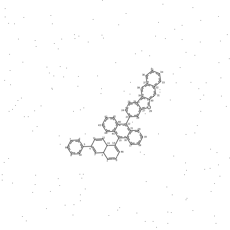 C1=CC2C=C(c3ccccc3)C=CC2C(c2c3ccccc3c(-c3ccc4c(c3)oc3cc5ccccc5cc34)c3ccccc23)=C1